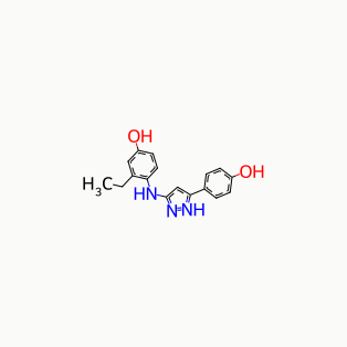 CCc1cc(O)ccc1Nc1cc(-c2ccc(O)cc2)[nH]n1